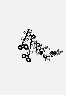 CCC(C)NC(=O)C(CC(=O)C(=O)OCC1c2ccccc2-c2ccccc21)NC(=O)C1CCCN1C(=O)C(CCCCNC(=O)OCC1c2ccccc2-c2ccccc21)NC(=O)C1CCCN1C(=O)CCSn1cc([C@H]2CC(O)[C@@H](COP(=O)(O)OP(=O)(O)OP(=O)(O)O)O2)c2nc(N)[nH]c(=O)c21